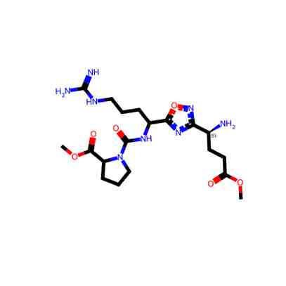 COC(=O)CC[C@H](N)c1noc(C(CCCNC(=N)N)NC(=O)N2CCCC2C(=O)OC)n1